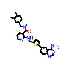 Cc1ccc(CN(C)C(=O)c2cccnc2NCc2ccc(-c3ccc4ncnc(N)c4c3)s2)cc1C